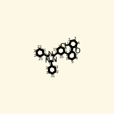 Clc1cccc2oc3cccc(-c4cccc(-c5nc(-c6ccccc6)nc(-c6ccccc6)n5)c4)c3c12